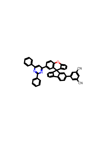 N#Cc1cc(C#N)cc(-c2ccc3c(c2)C2(c4ccccc4Oc4ccc(-c5cc(-c6ccccc6)nc(-c6ccccc6)n5)cc42)c2ccccc2-3)c1